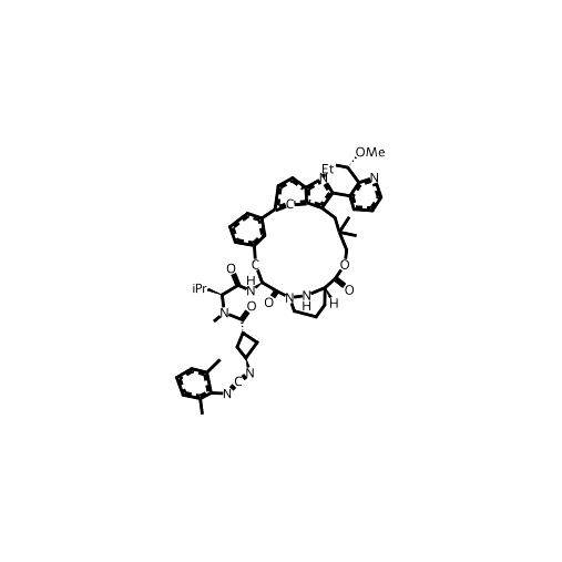 CCn1c(-c2cccnc2[C@H](C)OC)c2c3cc(ccc31)-c1cccc(c1)C[C@H](NC(=O)[C@H](C(C)C)N(C)C(=O)[C@H]1C[C@H](N=C=Nc3c(C)cccc3C)C1)C(=O)N1CCC[C@H](N1)C(=O)OCC(C)(C)C2